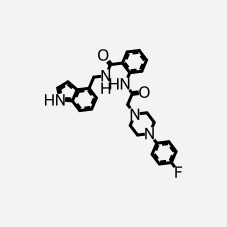 O=C(CN1CCN(c2ccc(F)cc2)CC1)Nc1ccccc1C(=O)NCc1cccc2[nH]ccc12